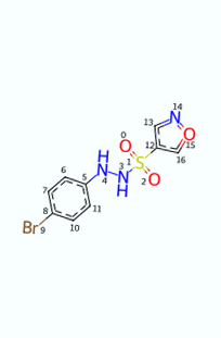 O=S(=O)(NNc1ccc(Br)cc1)c1cnoc1